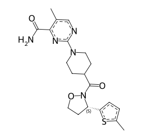 Cc1ccc([C@@H]2CCON2C(=O)C2CCN(c3ncc(C)c(C(N)=O)n3)CC2)s1